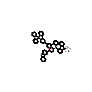 CC1(C)c2ccccc2-c2c(N(c3ccc(-c4ccc5oc6ccccc6c5c4)cc3)c3ccccc3-c3cccc(-c4ccc5c(c4)-c4ccccc4C5(c4ccccc4)c4ccccc4)c3)cccc21